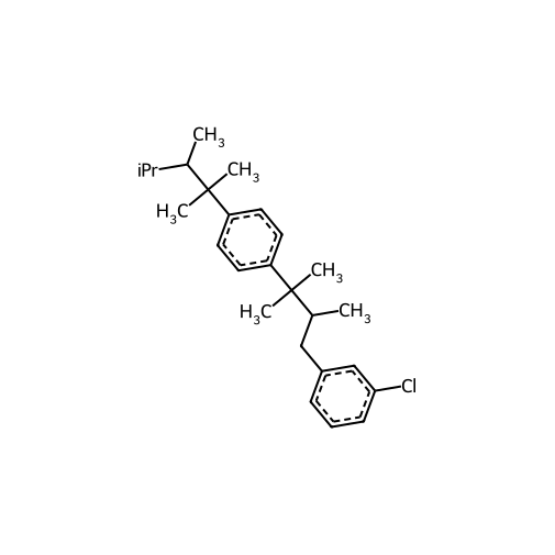 CC(C)C(C)C(C)(C)c1ccc(C(C)(C)C(C)Cc2cccc(Cl)c2)cc1